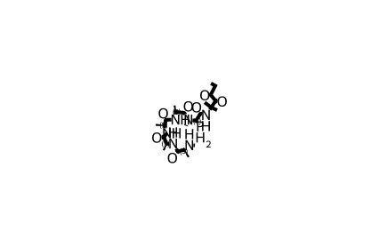 CCC(=O)C(=O)C(C)(C)NC(=O)[C@H](P)N(C)C(=O)[C@H](C)NC(=O)[C@H](C)NC(=O)[C@H](C)NC(=O)[C@H](C)NC